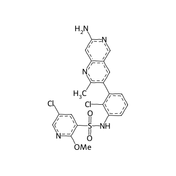 COc1ncc(Cl)cc1S(=O)(=O)Nc1cccc(-c2cc3cnc(N)cc3nc2C)c1Cl